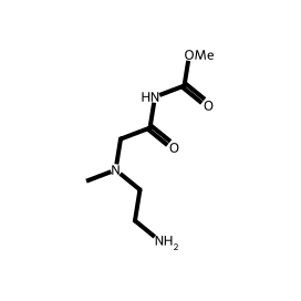 COC(=O)NC(=O)CN(C)CCN